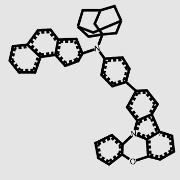 c1ccc2c(c1)Oc1cccc3c4ccc(-c5ccc(N(c6ccc7c(ccc8ccccc87)c6)C67CC8CC(CC(C8)C6)C7)cc5)cc4n-2c13